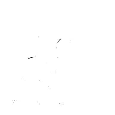 CSc1nc(SC)c2ncc(C3(O)O[C@H](COCc4ccccc4)[C@@H](OCc4ccccc4)[C@@H]3C)n2n1